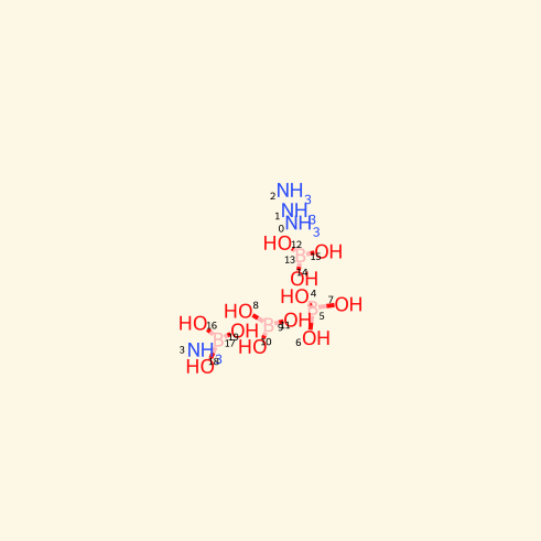 N.N.N.N.OB(O)O.OB(O)O.OB(O)O.OB(O)O